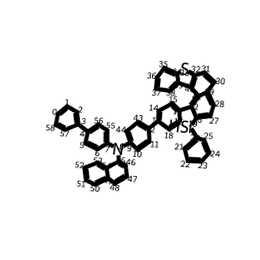 c1ccc(-c2ccc(N(c3ccc(-c4ccc5c(c4)[SiH](c4ccccc4)c4ccc6ccc7sc8ccccc8c7c6c4-5)cc3)c3cccc4ccccc34)cc2)cc1